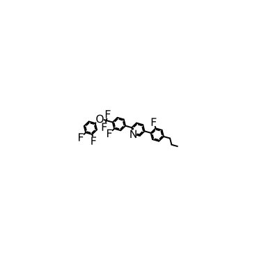 CCCc1ccc(-c2ccc(-c3ccc(C(F)(F)Oc4ccc(F)c(F)c4)c(F)c3)nc2)c(F)c1